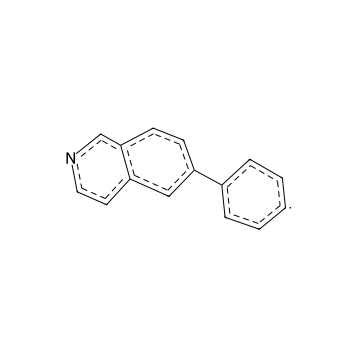 [c]1ccc(-c2ccc3cnccc3c2)cc1